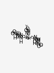 COC(=O)N[C@H](C(=O)N1CCC[C@H]1c1nc2ccc([C@H]3CC[C@H](c4ccc5nc([C@@H]6CCCN6C(=O)[C@@H](NC(=O)OC)C(C)C)[nH]c5c4)N3c3ccc(N(C)C(=O)OCC(C)C)nc3)cc2[nH]1)C(C)C